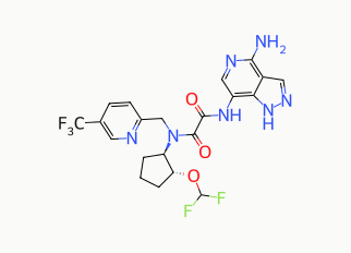 Nc1ncc(NC(=O)C(=O)N(Cc2ccc(C(F)(F)F)cn2)[C@@H]2CCC[C@H]2OC(F)F)c2[nH]ncc12